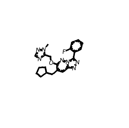 Cn1ncnc1COc1nn2c(-c3ccccc3F)nnc2cc1CC1CCCC1